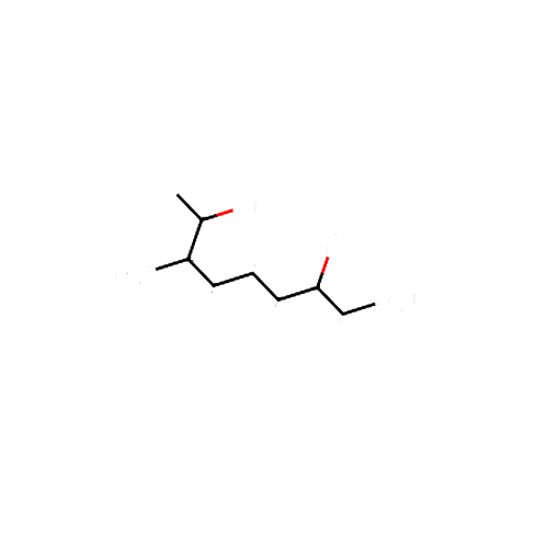 CC(O)C(CCCC(O)CC(=O)O)C(=O)O